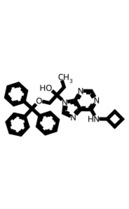 CCC(O)(COC(c1ccccc1)(c1ccccc1)c1ccccc1)n1cnc2c(NC3CCC3)ncnc21